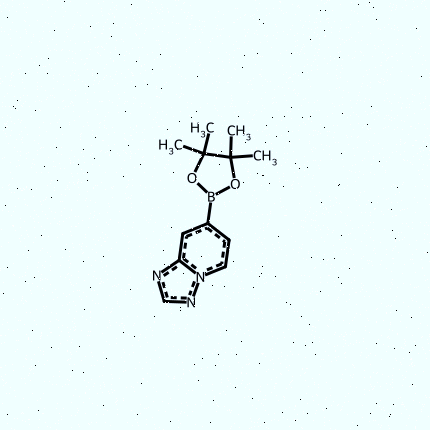 CC1(C)OB(c2ccn3ncnc3c2)OC1(C)C